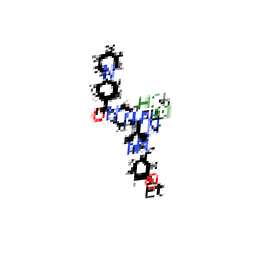 CCOc1cccc(Cn2ncc3c(N4CCN(C(=O)C5CCC(N6CCCCC6)CC5)CC4)nc(Cl)nc32)c1.Cl